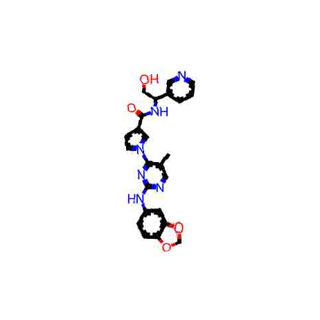 Cc1cnc(Nc2ccc3c(c2)OCO3)nc1-n1ccc(C(=O)NC(CO)c2cccnc2)c1